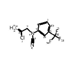 C=C(Cl)CN(C#N)c1cccc(C(F)(F)F)c1